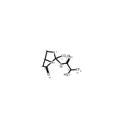 O=C(NC1(C(=O)O)SCC2CC(=O)N21)C(S)C(F)(F)F